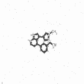 Cn1cc(-c2c[nH]c3nccc(-c4cccc(CC#N)c4)c23)cn1